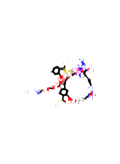 CSSC(C)c1ccc2cc1C(=O)OCCCCC(=O)NCC#Cc1cn(c3nc(N)[nH]c(=O)c13)[C@H](O)C[C@@H](OC(=O)c1ccccc1C(C)SSC)C[C@@H]2C(=O)COCCOCCN